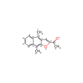 CC(=O)c1cc2c(C)c3ccccc3c(C)c2o1